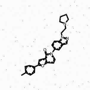 Cc1ccc(-c2cc3c(=O)n(-c4ccc5c(cnn5CCN5CCCC5)c4)ccc3o2)cc1